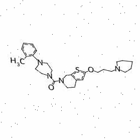 Cc1ccccc1N1CCN(C(=O)N2CCc3cc(OCCCN4CCCCC4)sc3C2)CC1